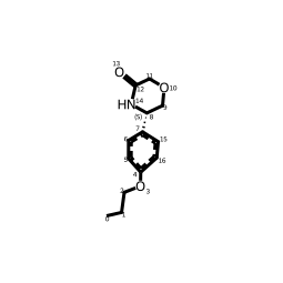 CCCOc1ccc([C@H]2COCC(=O)N2)cc1